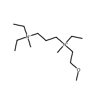 CC[N+](C)(CC)CCC[N+](C)(CC)CCOC